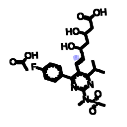 CC(=O)O.CC(C)c1nc(N(C)S(C)(=O)=O)nc(-c2ccc(F)cc2)c1/C=C/C(O)CC(O)CC(=O)O